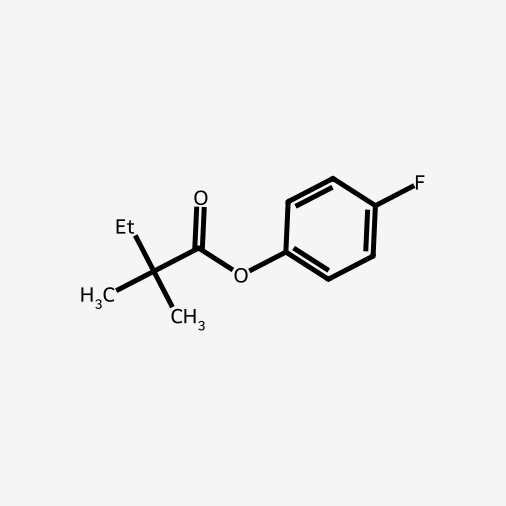 CCC(C)(C)C(=O)Oc1ccc(F)cc1